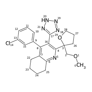 COCC1(c2nc3c(c(-c4cccc(Cl)c4)c2-c2nn[nH]n2)CCCC3)CCCO1